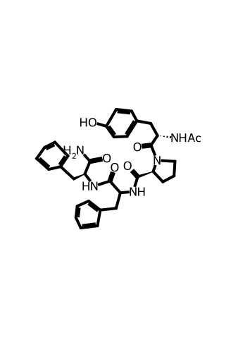 CC(=O)N[C@@H](Cc1ccc(O)cc1)C(=O)N1CCC[C@H]1C(=O)NC(Cc1ccccc1)C(=O)N[C@@H](Cc1ccccc1)C(N)=O